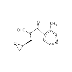 Cc1ccccc1C(=O)N(C=O)C[C@H]1CO1